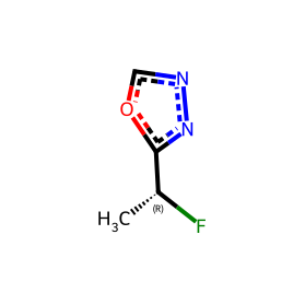 C[C@@H](F)c1nnco1